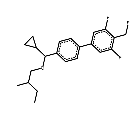 CCC(C)COC(c1ccc(-c2cc(F)c(CF)c(F)c2)cc1)C1CC1